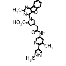 Cc1nc(N2C[C@@H](CC(=O)Nc3cnc(-c4cnn(C)c4)c(C)c3)C[C@H]2C(=O)O)c2oc3ccccc3c2n1